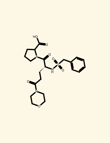 O=C(O)C1CCCN1C(=O)[C@@H](CCC(=O)N1CCOCC1)NS(=O)(=O)Cc1ccccc1